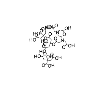 O=C(O)CC(O)(CC(=O)O)C(=O)O.O=C(O)CN(CCN(CC(=O)O)CC(=O)OC(CC(=O)O)(CC(=O)OC(CC(=O)O)(CC(=O)O)C(=O)O)C(=O)O)CC(=O)O